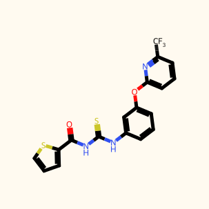 O=C(NC(=S)Nc1cccc(Oc2cccc(C(F)(F)F)n2)c1)c1cccs1